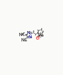 CC1(C)C2CCC1(CCC1N=C(C#N)C(C#N)=N1)C(=O)C2